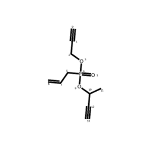 C#CCOP(=O)(CC=C)OC(C)C#C